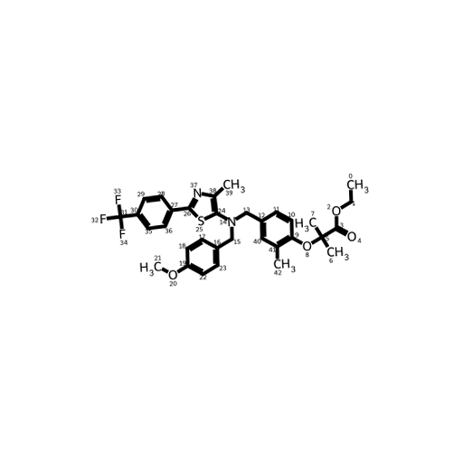 CCOC(=O)C(C)(C)Oc1ccc(CN(Cc2ccc(OC)cc2)c2sc(-c3ccc(C(F)(F)F)cc3)nc2C)cc1C